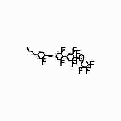 C=CCCc1ccc(C#Cc2cc(F)c(-c3cc(F)c(C(F)(F)Oc4cc(F)c(F)c(F)c4)c(F)c3)c(F)c2)c(F)c1